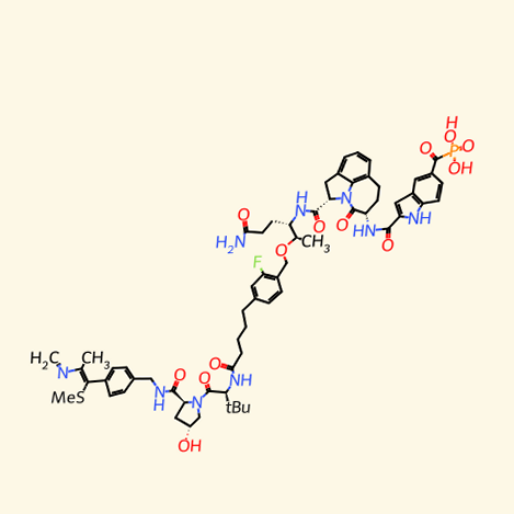 C=N/C(C)=C(\SC)c1ccc(CNC(=O)[C@@H]2C[C@@H](O)CN2C(=O)[C@@H](NC(=O)CCCCc2ccc(CO[C@H](C)[C@H](CCC(N)=O)NC(=O)[C@@H]3Cc4cccc5c4N3C(=O)[C@@H](NC(=O)c3cc4cc(C(=O)P(=O)(O)O)ccc4[nH]3)CC5)c(F)c2)C(C)(C)C)cc1